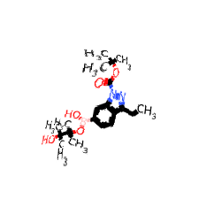 CCc1nn(C(=O)OC(C)(C)C)c2cc(B(O)OC(C)(C)C(C)(C)O)ccc12